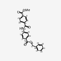 COC(=O)c1ccc(C(=O)Nc2ccc(C(=O)OCc3ccccc3)cc2)cc1